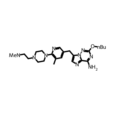 CCCCOc1nc(N)c2ncc(Cc3cnc(N4CCN(CCNC)CC4)c(C)c3)n2n1